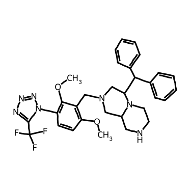 COc1ccc(-n2nnnc2C(F)(F)F)c(OC)c1CN1CC2CNCCN2C(C(c2ccccc2)c2ccccc2)C1